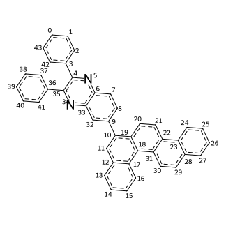 c1ccc(-c2nc3ccc(-c4cc5ccccc5c5c4ccc4c6ccccc6ccc45)cc3nc2-c2ccccc2)cc1